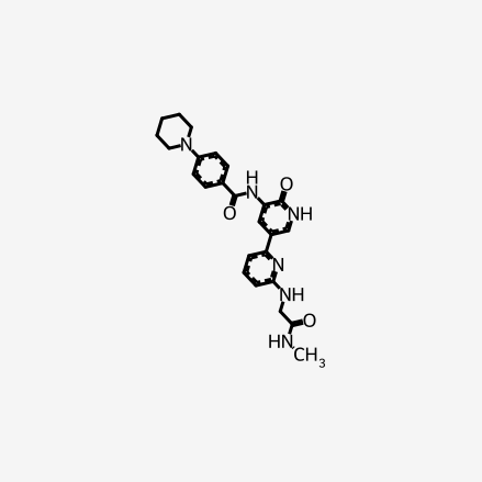 CNC(=O)CNc1cccc(-c2c[nH]c(=O)c(NC(=O)c3ccc(N4CCCCC4)cc3)c2)n1